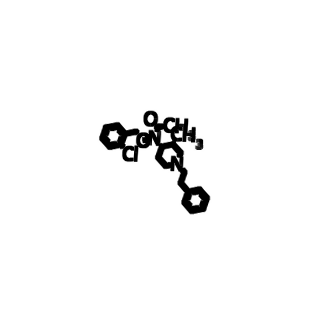 CC(=O)N(OCc1ccccc1Cl)[C@H]1CCN(CCc2ccccc2)C[C@H]1C